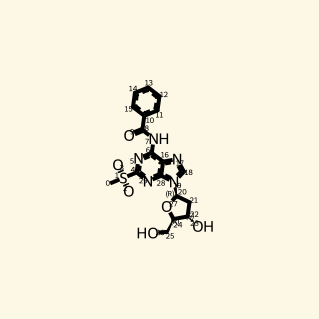 CS(=O)(=O)c1nc(NC(=O)c2ccccc2)c2ncn([C@H]3C[C@H](O)[C@@H](CO)O3)c2n1